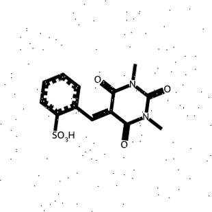 CN1C(=O)C(=Cc2ccccc2S(=O)(=O)O)C(=O)N(C)C1=O